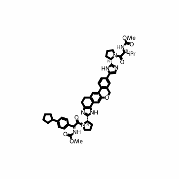 COC(=O)N[C@H](C(=O)N1CCC[C@H]1c1ncc(-c2ccc3c(c2)COc2cc4c(cc2-3)CCc2nc([C@@H]3CCCN3C(=O)[C@H](NC(=O)OC)c3ccc(C5CCCC5)cc3)[nH]c2-4)[nH]1)C(C)C